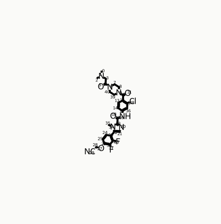 CN(C)CC(=O)N1CCN(C(=O)c2ccc(NC(=O)c3ncc(-c4ccc(OCC#N)c(F)c4F)n3C)cc2Cl)CC1